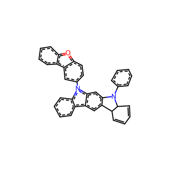 C1=CC2c3cc4c5ccccc5n(-c5ccc6oc7ccccc7c6c5)c4cc3N(c3ccccc3)C2C=C1